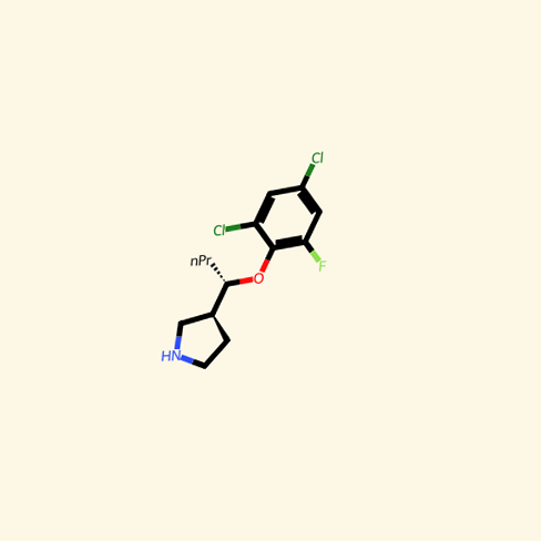 CCC[C@H](Oc1c(F)cc(Cl)cc1Cl)[C@H]1CCNC1